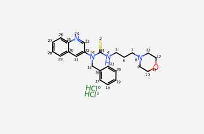 Cl.Cl.S=C(NCCCN1CCOCC1)N(Cc1ccccc1)c1cnc2ccccc2c1